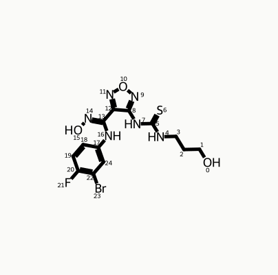 OCCCNC(=S)Nc1nonc1/C(=N/O)Nc1ccc(F)c(Br)c1